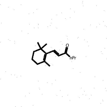 CCCC(=O)C=CC1=C(C)CCCC1(C)C